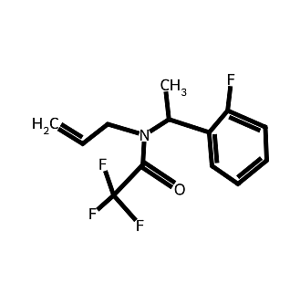 C=CCN(C(=O)C(F)(F)F)C(C)c1ccccc1F